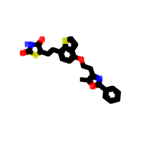 Cc1oc(-c2ccccc2)nc1CCOc1ccc(CCC2SC(=O)NC2=O)c2sccc12